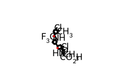 Cc1cc(C(Nc2cccc(-c3ccc(C(=O)N[C@@H](C)C(=O)O)c(Cl)c3)c2)C(F)(F)F)ccc1Cl